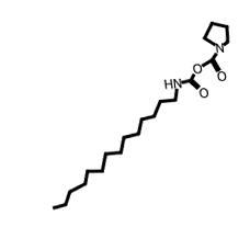 CCCCCCCCCCCCCCNC(=O)OC(=O)N1CCCC1